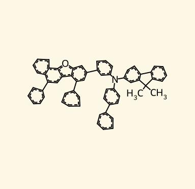 CC1(C)c2ccccc2-c2ccc(N(c3ccc(-c4ccccc4)cc3)c3cccc(-c4cc(-c5ccccc5)c5c(c4)oc4c6ccccc6c(-c6ccccc6)cc45)c3)cc21